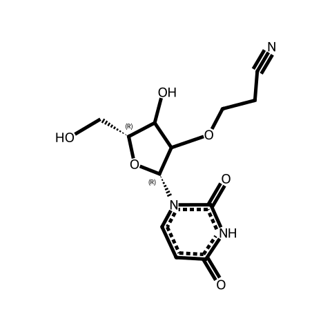 N#CCCOC1C(O)[C@@H](CO)O[C@H]1n1ccc(=O)[nH]c1=O